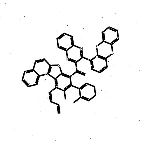 C=C/C=C\c1c(C)c(C2=CCCC=C2C)c(C(=C)c2nc3ccccc3nc2-c2cccc3c2Sc2ccccc2S3)c2sc3ccc4ccccc4c3c12